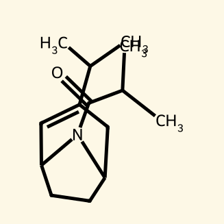 CC(C)C(=O)N1C2C=C(C(C)C)CC1CC2